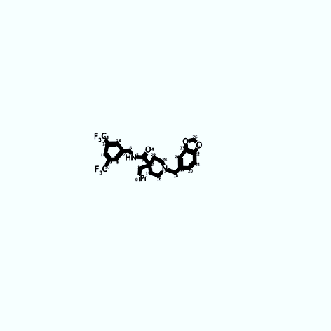 CC(C)CC1(C(=O)NCc2cc(C(F)(F)F)cc(C(F)(F)F)c2)CCN(Cc2ccc3c(c2)OCO3)CC1